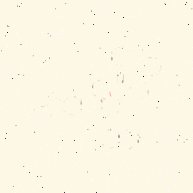 c1cc(-c2ccccc2N(c2ccc(-c3ccc4c(c3)oc3ccccc34)cc2)c2cccc3sc4ccccc4c23)cc(-c2cccc3ccccc23)c1